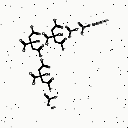 O=C([O-])CC(O)(CC(=O)[O-])C(=O)[O-].O=C([O-])CC(O)(CC(=O)[O-])C(=O)[O-].O=C([O-])CC(O)(CC(=O)[O-])C(=O)[O-].O=[Si]([O-])[O-].O=[Si]([O-])[O-].O=[Si]([O-])[O-].[Al+3].[Al+3].[Al+3].[Al+3].[Al+3]